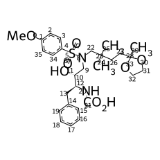 COc1ccc(S(=O)(=O)N(C[C@@H](O)[C@H](Cc2ccccc2)NC(=O)O)CC(C)(C)CCC2(C)OCCO2)cc1